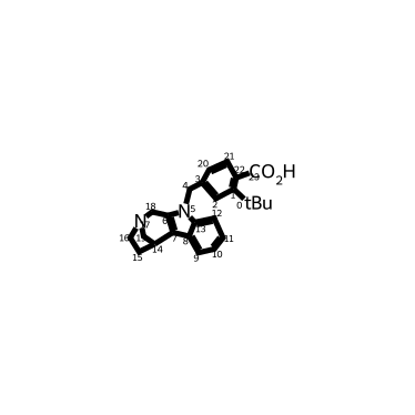 CC(C)(C)c1cc(Cn2c3c(c4ccccc42)C2CCN(C3)C2)ccc1C(=O)O